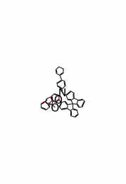 C1=CC(c2ccc(N(c3ccc(-c4ccccc4)cc3)c3ccc4c(c3)C3(c5ccccc5-4)c4ccccc4-c4cc5c(cc43)Oc3ccccc3O5)cc2)=CCC1